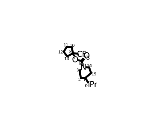 CC(C)C1CCN(C(=O)OC2(C(F)(F)F)CCCC2)CC1